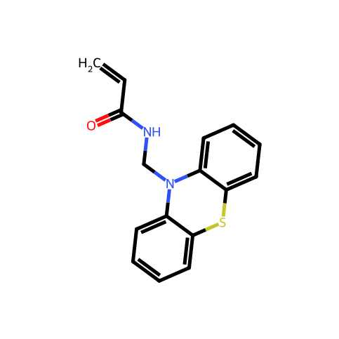 C=CC(=O)NCN1c2ccccc2Sc2ccccc21